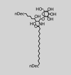 CCCCCCCCCCCCCCCCCCCCCCCCCC(=O)NC(CO[C@H]1O[C@H](CO)[C@H](O)[C@H](O)[C@H]1O)C(O)C(O)CCCCCCCCCCCCCC